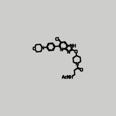 CC(=O)NCCC(=O)N1CCC(Oc2nc3nc(-c4ccc(N5CCOCC5)cc4)c(Cl)cc3[nH]2)CC1